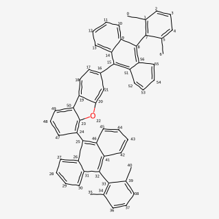 Cc1cccc(C)c1-c1c2ccccc2c(-c2ccc3c(c2)oc2c(-c4c5ccccc5c(-c5c(C)cccc5C)c5ccccc45)cccc23)c2ccccc12